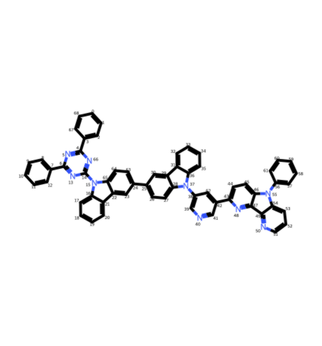 c1ccc(-c2nc(-c3ccccc3)nc(-n3c4ccccc4c4cc(-c5ccc6c(c5)c5ccccc5n6-c5cncc(-c6ccc7c(n6)c6ncccc6n7-c6ccccc6)c5)ccc43)n2)cc1